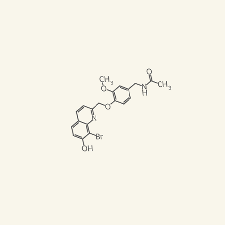 COc1cc(CNC(C)=O)ccc1OCc1ccc2ccc(O)c(Br)c2n1